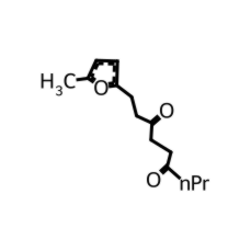 CCCC(=O)CCC(=O)CCc1ccc(C)o1